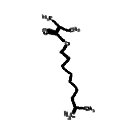 CC(C)CCCCCCCOC(=O)C(C)C